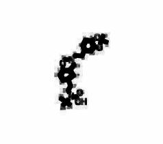 CC1(C)Oc2ccc(CCN3COc4ccc(CCN(C(=O)O)C(C)(C)C)cc4C3)cc2O1